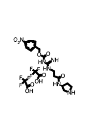 N=C(NCCC(=O)N[C@H]1CCNC1)NC(=O)OCc1ccc([N+](=O)[O-])cc1.O=C(O)C(F)(F)F.O=C(O)C(F)(F)F